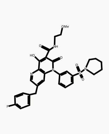 COCCNC(=O)c1c(O)c2ncc(Cc3ccc(F)cc3)cc2n(-c2cccc(S(=O)(=O)N3CCCCC3)c2)c1=O